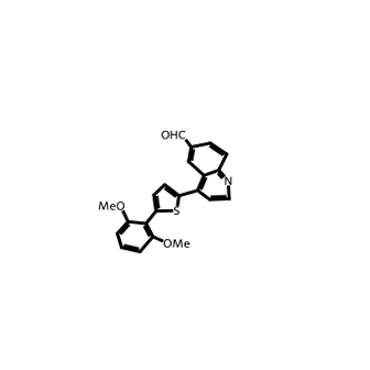 COc1cccc(OC)c1-c1ccc(-c2ccnc3ccc(C=O)cc23)s1